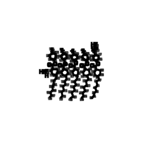 CCCCCCCCC1CCC(C(=O)Oc2ccc([S])cc2)CC1.CCCCCCCCC1CCC(C(=O)Oc2ccc([S])cc2)CC1.CCCCCCCCC1CCC(C(=O)Oc2ccc([S])cc2)CC1.CCCCCCCCC1CCC(C(=O)Oc2ccc([S])cc2)CC1.CCCCCCCCC1CCC(C(=O)Oc2ccc([S])cc2)CC1.F.F.F.F.F